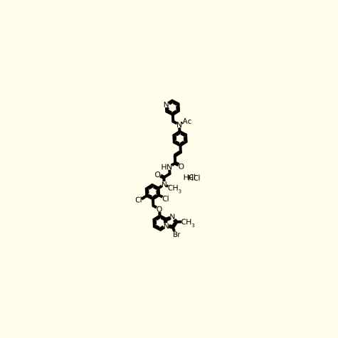 CC(=O)N(Cc1cccnc1)c1ccc(C=CC(=O)NCC(=O)N(C)c2ccc(Cl)c(COc3cccn4c(Br)c(C)nc34)c2Cl)cc1.Cl.Cl